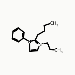 CCCCc1n(-c2ccccc2)cc[n+]1CCC